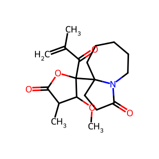 C=C(C)C(=O)C1(C23CCCCCN2C(=O)CC3)OC(=O)C(C)C1OC